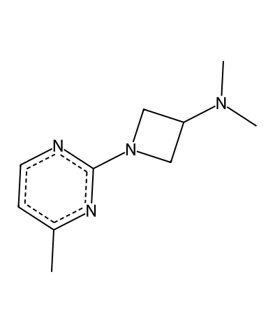 Cc1ccnc(N2CC(N(C)C)C2)n1